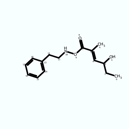 CCC(O)C=C(C)C(=O)ONCCc1ccccc1